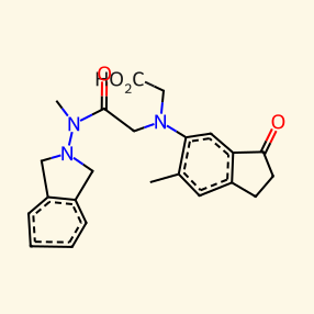 Cc1cc2c(cc1N(CC(=O)O)CC(=O)N(C)N1Cc3ccccc3C1)C(=O)CC2